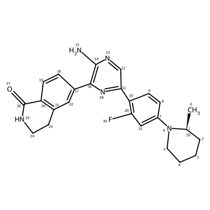 C[C@H]1CCCCN1c1ccc(-c2cnc(N)c(-c3ccc4c(c3)CCNC4=O)n2)c(F)c1